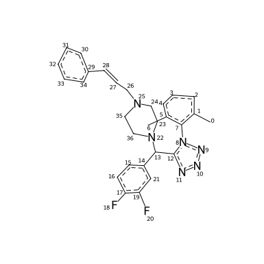 Cc1cccc(C)c1-n1nnnc1C(c1ccc(F)c(F)c1)N1CCN(C/C=C/c2ccccc2)CC1